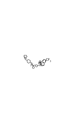 CN(CC1CCC(CN2CCCC2)CC1)C(=O)COCCN1C=Cc2cc(C(F)(F)F)ccc2S1(=O)=O